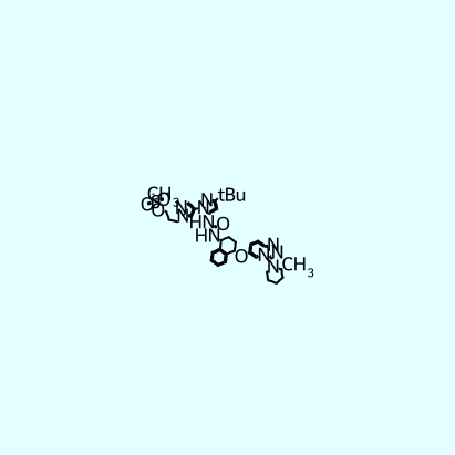 C[C@H]1CCCCN1c1nnc2ccc(O[C@@H]3CC[C@H](NC(=O)Nc4cc(C(C)(C)C)nn4-c4cnn(CCCOS(C)(=O)=O)c4)c4ccccc43)cn12